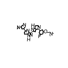 CN(C)CCOc1cc(F)cc(-c2nccc3[nH]c(-c4n[nH]c5ccc(-c6cncc(N(C)C)c6)nc45)cc23)c1